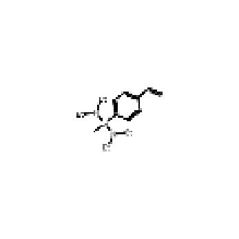 C=Cc1ccc([Si](C)(N(CC)CC)N(CC)CC)cc1